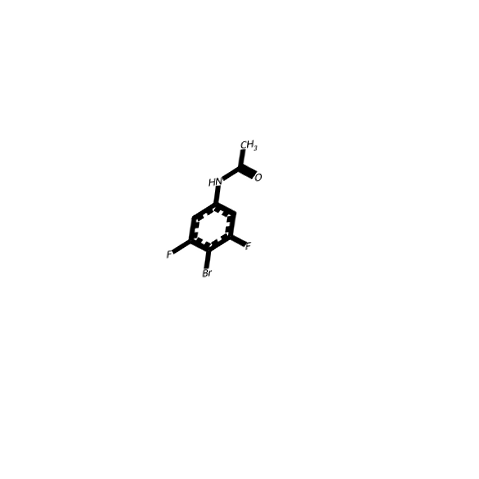 CC(=O)Nc1cc(F)c(Br)c(F)c1